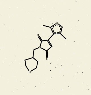 Cc1noc(C)c1C1=CC(=O)N(CC2CCOCC2)C1=O